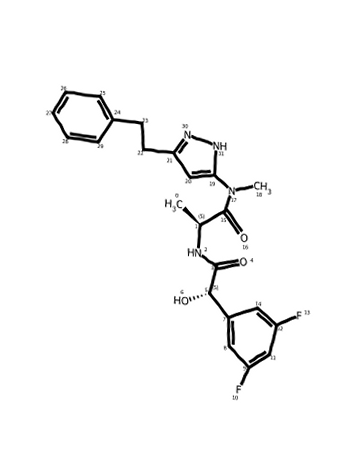 C[C@H](NC(=O)[C@@H](O)c1cc(F)cc(F)c1)C(=O)N(C)c1cc(CCc2ccccc2)n[nH]1